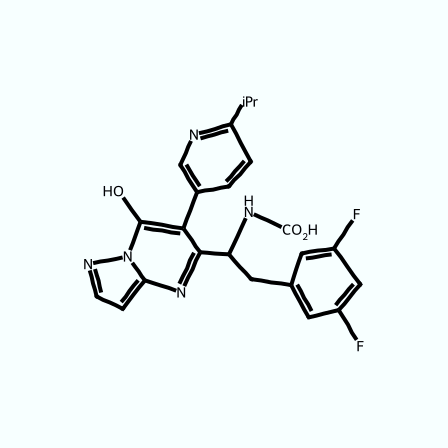 CC(C)c1ccc(-c2c(C(Cc3cc(F)cc(F)c3)NC(=O)O)nc3ccnn3c2O)cn1